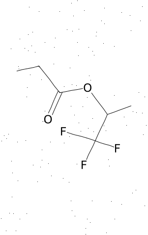 CCC(=O)OC(C)C(F)(F)F